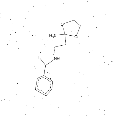 CC1(CCNC(I)c2ccccc2)OCCO1